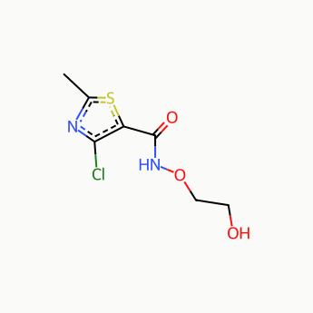 Cc1nc(Cl)c(C(=O)NOCCO)s1